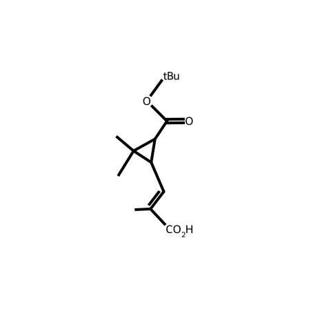 CC(=CC1C(C(=O)OC(C)(C)C)C1(C)C)C(=O)O